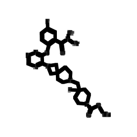 CC(C)N(C(=O)c1cc(F)ccc1Oc1nncnc1N1CC2(CCN(CC3(F)CCN(C(=O)OC(C)(C)C)CC3)CC2)C1)C(C)C